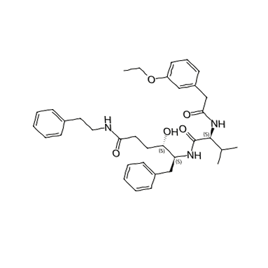 CCOc1cccc(CC(=O)N[C@H](C(=O)N[C@@H](Cc2ccccc2)[C@@H](O)CCC(=O)NCCc2ccccc2)C(C)C)c1